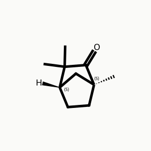 CC1(C)C(=O)[C@@]2(C)CC[C@H]1C2